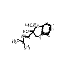 CC(C)NCC1(O)COc2ccccc2OC1.Cl